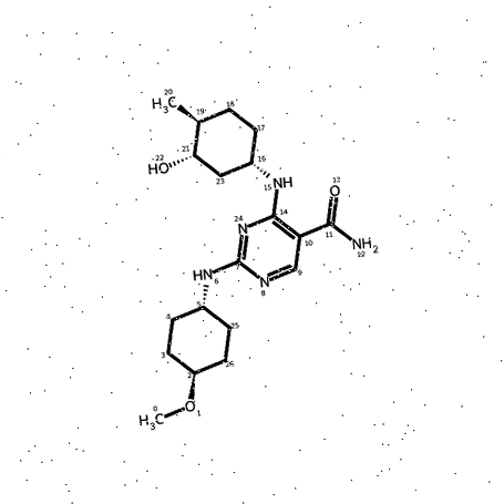 CO[C@H]1CC[C@H](Nc2ncc(C(N)=O)c(N[C@H]3CC[C@H](C)[C@@H](O)C3)n2)CC1